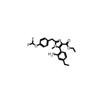 CCOC(=O)c1nc(Cc2ccc(OC(F)F)cc2)n(C)c1-c1ccc(CC)cc1N